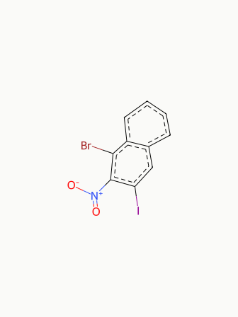 O=[N+]([O-])c1c(I)cc2ccccc2c1Br